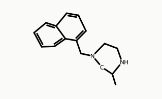 CC1CN(Cc2cccc3ccccc23)CCN1